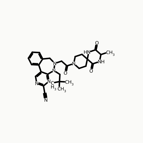 CC1NC(=O)C2(CCN(C(=O)CN3Cc4ccccc4-c4cnc(C#N)nc4N3CC(C)(C)C)CC2)NC1=O